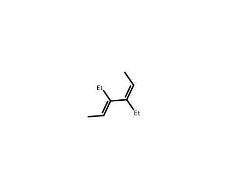 CC=C(CC)C(=CC)CC